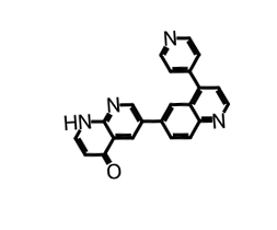 O=c1cc[nH]c2ncc(-c3ccc4nccc(-c5ccncc5)c4c3)cc12